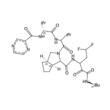 CC[C@H](C)NC(=O)C(=O)C(CC(F)F)NC(=O)C1[C@H]2CCC[C@H]2CN1C(=O)C(NC(=O)[C@H](NC(=O)c1cnccn1)C(C)C)C(C)C